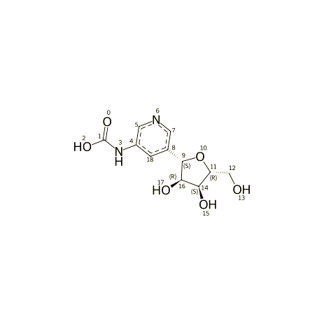 O=C(O)Nc1cncc([C@@H]2O[C@H](CO)[C@@H](O)[C@H]2O)c1